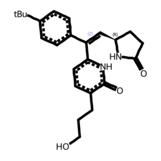 CC(C)(C)c1ccc(/C(=C/[C@H]2CCC(=O)N2)c2ccc(CCCO)c(=O)[nH]2)cc1